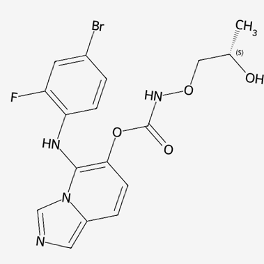 C[C@H](O)CONC(=O)Oc1ccc2cncn2c1Nc1ccc(Br)cc1F